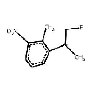 C[C](CF)c1cccc([N+](=O)[O-])c1C